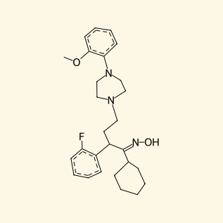 COc1ccccc1N1CCN(CCC(C(=NO)C2CCCCC2)c2ccccc2F)CC1